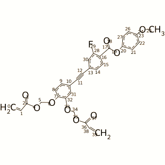 C=CC(=O)OCOc1ccc(C#Cc2ccc(C(=O)Oc3ccc(OC)cc3)c(F)c2)cc1OCOC(=O)C=C